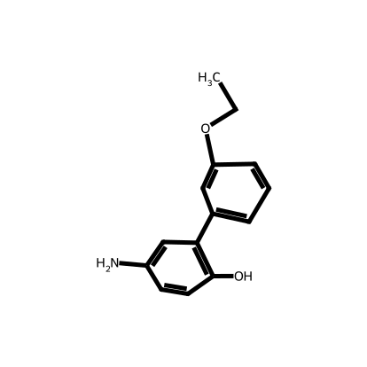 CCOc1cccc(-c2cc(N)ccc2O)c1